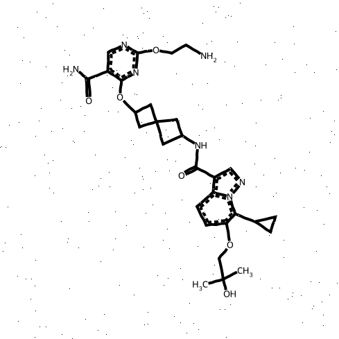 CC(C)(O)COc1ccc2c(C(=O)NC3CC4(C3)CC(Oc3nc(OCCN)ncc3C(N)=O)C4)cnn2c1C1CC1